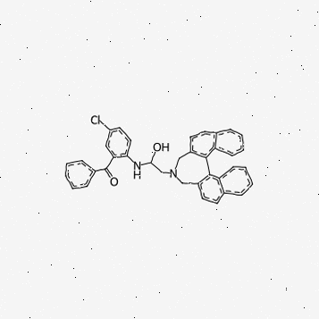 O=C(c1ccccc1)c1cc(Cl)ccc1NC(O)CN1Cc2ccc3ccccc3c2-c2c(ccc3ccccc23)C1